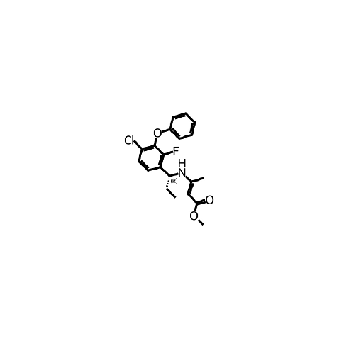 CC[C@@H](NC(C)=CC(=O)OC)c1ccc(Cl)c(Oc2ccccc2)c1F